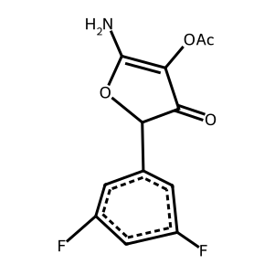 CC(=O)OC1=C(N)OC(c2cc(F)cc(F)c2)C1=O